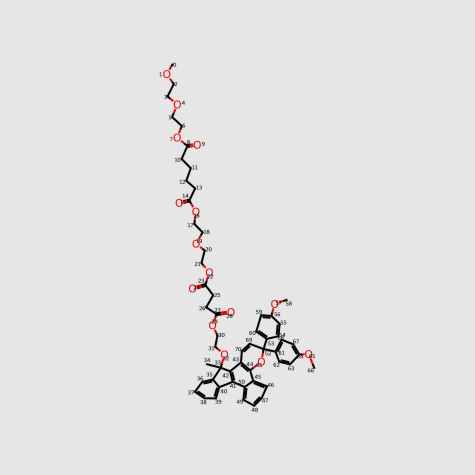 COCCOCCOC(=O)CCCCC(=O)OCCOCCOC(=O)CCC(=O)OCCOC1(C)c2ccccc2-c2c1c1c(c3ccccc23)OC(c2ccc(OC)cc2)(c2ccc(OC)cc2)C=C1